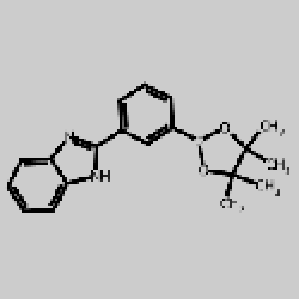 CC1(C)OB(c2cccc(-c3nc4ccccc4[nH]3)c2)OC1(C)C